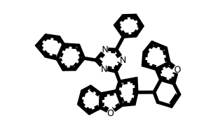 C1=Cc2oc3ccccc3c2C(c2cc(-c3nc(-c4ccccc4)nc(-c4ccc5ccccc5c4)n3)c3c(c2)oc2ccccc23)C1